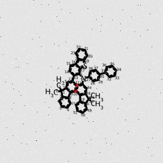 CC1(C)c2ccccc2-c2ccc(-c3ccc4c(sc5ccccc54)c3N(c3ccc(-c4ccccc4)cc3)c3ccc4c(c3)C(C)(C)c3ccccc3-4)cc21